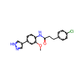 COc1cc(-c2cn[nH]c2)ccc1NC(=O)CCc1ccc(Cl)cc1